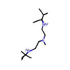 CC(C)C(C)NCCN(C)CCNC(C)(C)C